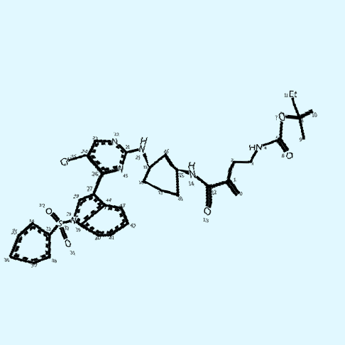 C=C(CCNC(=O)OC(C)(C)CC)C(=O)N[C@H]1CCC[C@@H](Nc2ncc(Cl)c(-c3cn(S(=O)(=O)c4ccccc4)c4ccccc34)n2)C1